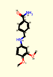 COc1ccc(NCc2ccc(C(N)=O)cc2)cc1OC